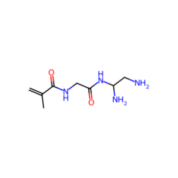 C=C(C)C(=O)NCC(=O)NC(N)CN